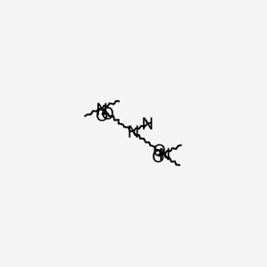 CCCCCCN(CCCCCC)C(=O)OCCCCCCCCCN(CCCCCCCCCOC(=O)N(CCCCCC)CCCCCC)CCCCN(C)C